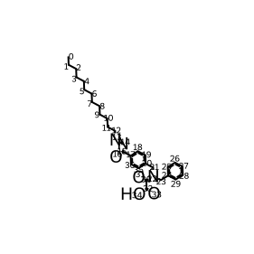 CCCCCCCCCCCCCN=NC(=O)c1ccc(CN(Cc2ccccc2)C(=O)C(=O)O)cc1